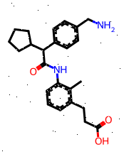 Cc1c(CCC(=O)O)cccc1NC(=O)C(c1ccc(CN)cc1)C1CCCC1